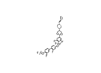 CC/C=C/C1CCC(C2COC(c3cc(F)c(C(F)(F)Oc4ccc(-c5ccc(OC(F)(F)F)c(F)c5)c(F)c4)c(F)c3)OC2)CC1